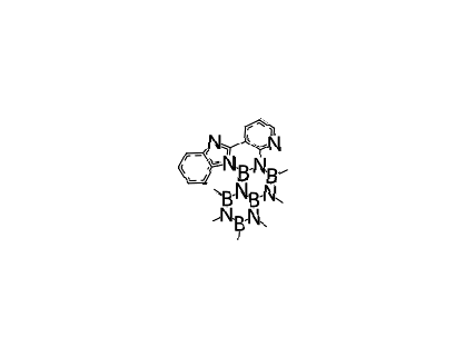 CB1N(C)B(C)N2B(N1C)N(C)B(C)N1B2n2c(nc3ccccc32)-c2cccnc21